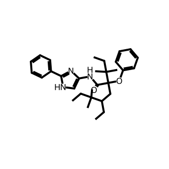 CCC(CC(Oc1ccccc1)(C(=O)Nc1c[nH]c(-c2ccccc2)n1)C(C)(C)CC)C(C)(C)CC